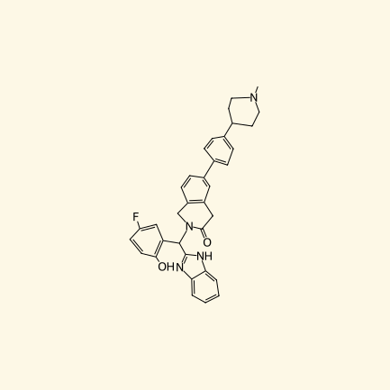 CN1CCC(c2ccc(-c3ccc4c(c3)CC(=O)N(C(c3nc5ccccc5[nH]3)c3cc(F)ccc3O)C4)cc2)CC1